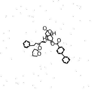 O=C1C[C@@H]2[C@@H](C=C[C@H](CCc3ccccc3)OC3CCCCO3)[C@H](OC(=O)c3ccc(-c4ccccc4)cc3)C[C@@H]2O1